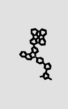 Cc1cc(C)cc(-c2cccc(-c3ccc(-n4c5ccc(-c6ccc7c(c6)C6(c8ccccc8-c8ccccc86)c6ccccc6-7)cc5c5c6ccccc6ccc54)cc3)c2)c1